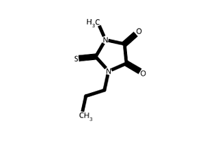 CCCN1C(=O)C(=O)N(C)C1=S